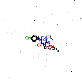 COC(=O)/N=C(/N(C)C)N(C)C(=O)Nc1ccc(Cl)cc1